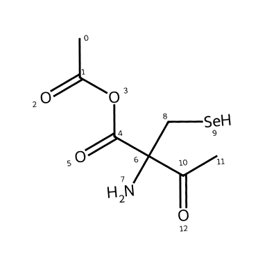 CC(=O)OC(=O)C(N)(C[SeH])C(C)=O